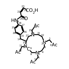 CC(=O)CN1CCN(CC(C)=O)CCN(CC(C)=O)C(Cc2ccc(NC(=O)/C=C\C(=O)O)cc2)CN(CC(C)=O)CC1